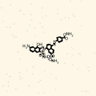 NOC(=O)c1ccc(N=Nc2ccc(N=Nc3c(S(=O)(=O)ON)cc4ccc(N)cc4c3O)c3cc(S(=O)(=O)ON)ccc23)cc1